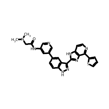 CN(C)CC(=O)Nc1cncc(-c2ccc3[nH]nc(-c4nc5c(-c6cccs6)nccc5[nH]4)c3c2)c1